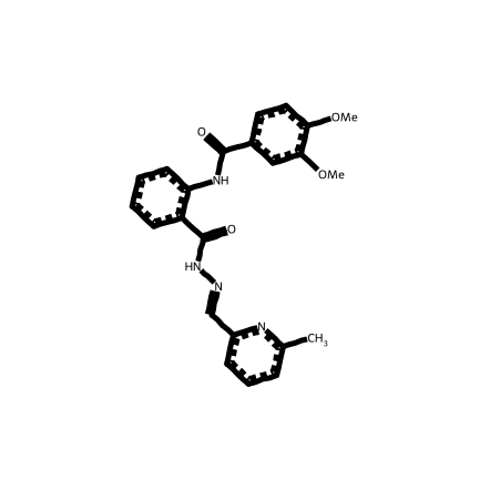 COc1ccc(C(=O)Nc2ccccc2C(=O)NN=Cc2cccc(C)n2)cc1OC